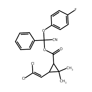 CC1(C)C(C=C(Cl)Cl)C1C(=O)OC(C#N)(Oc1ccc(F)cc1)c1ccccc1